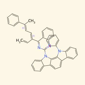 C=C/C(=C\C=C(/C)c1ccccc1)c1nc(-n2c3ccccc3c3ccc4c5ccccc5n(-c5ccccc5)c4c32)nc2ccccc12